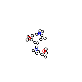 c1ccc(-c2ccc(N(c3ccc(-c4ccc(-c5ccccc5)c(-c5cc(-c6ccc7c(-c8ccc(N(c9ccc(-c%10ccc(-c%11ccccc%11)c(-c%11cccc%12c%11oc%11ccccc%11%12)c%10)cc9)c9ccccc9-c9ccccc9)cc8)cccc7c6)cc6c5oc5ccccc56)c4)cc3)c3cccc4ccccc34)cc2-c2ccccc2)cc1